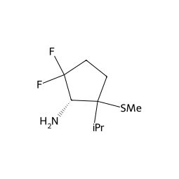 CSC1(C(C)C)CCC(F)(F)[C@H]1N